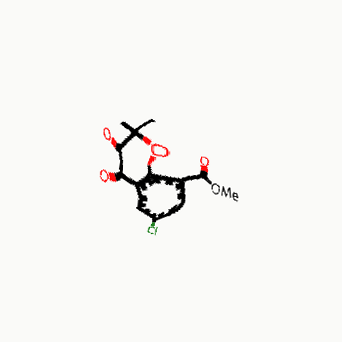 COC(=O)c1cc(Cl)cc2c1OC(C)(C)C(=O)C2=O